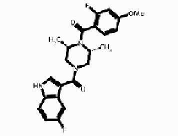 COc1ccc(C(=O)N2[C@H](C)CN(C(=O)c3c[nH]c4ccc(F)cc34)C[C@H]2C)c(F)c1